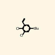 C=Cc1cc(C(C)(C)C)cc(Cl)c1Cl